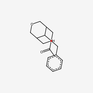 CC(=O)NC1C2COCC1CN(Cc1ccccc1)C2